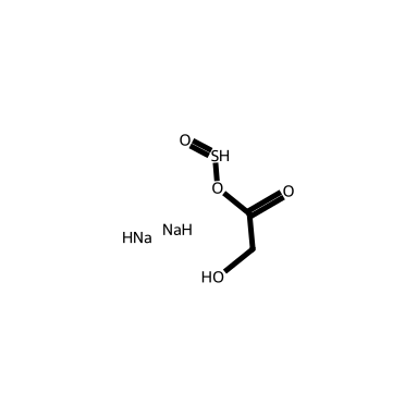 O=[SH]OC(=O)CO.[NaH].[NaH]